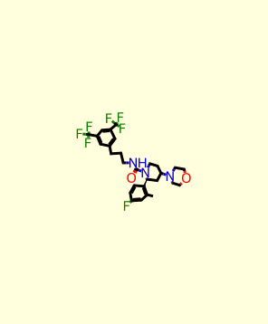 Cc1cc(F)ccc1[C@@H]1CC(N2CCOCC2)CCN1C(=O)NCCCc1cc(C(F)(F)F)cc(C(F)(F)F)c1